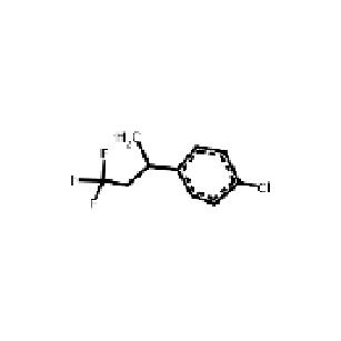 [CH2]C(CC(F)(F)F)c1ccc(Cl)cc1